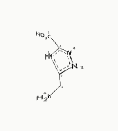 NCc1nnc(C(=O)O)[nH]1